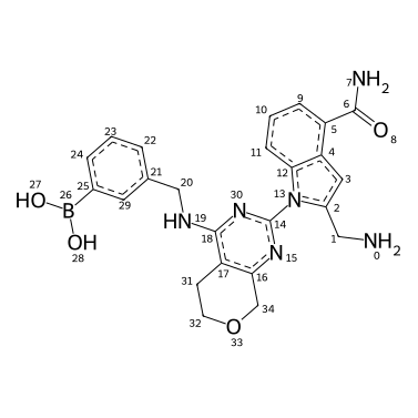 NCc1cc2c(C(N)=O)cccc2n1-c1nc2c(c(NCc3cccc(B(O)O)c3)n1)CCOC2